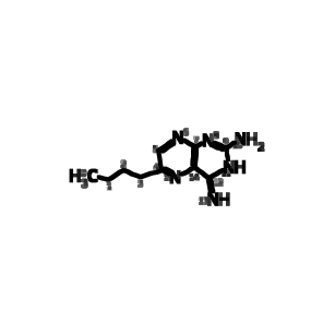 CCCCc1cnc2nc(N)[nH]c(=N)c2n1